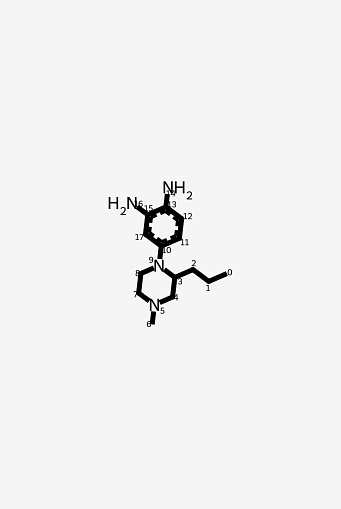 CCCC1CN(C)CCN1c1ccc(N)c(N)c1